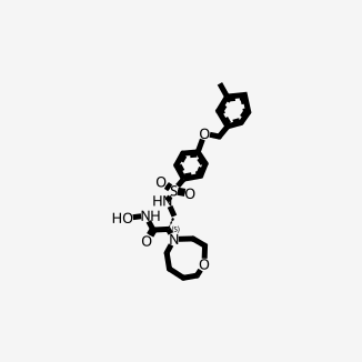 Cc1cccc(COc2ccc(S(=O)(=O)NC[C@@H](C(=O)NO)N3CCCCOCC3)cc2)c1